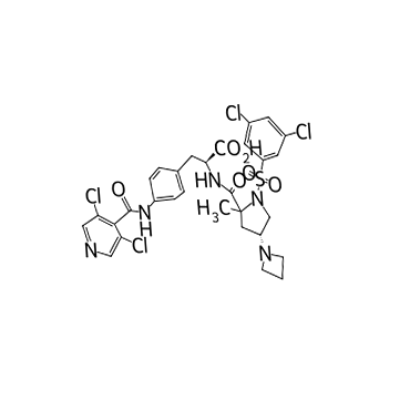 CC1(C(=O)N[C@@H](Cc2ccc(NC(=O)c3c(Cl)cncc3Cl)cc2)C(=O)O)C[C@@H](N2CCC2)CN1S(=O)(=O)c1cc(Cl)cc(Cl)c1